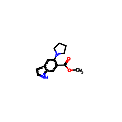 COC(=O)c1cc2[nH]ccc2cc1N1CCCC1